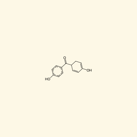 O=C(c1ccc(O)cc1)C1C=CC(O)=CC1